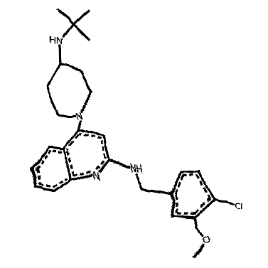 COc1cc(CNc2cc(N3CCC(NC(C)(C)C)CC3)c3ccccc3n2)ccc1Cl